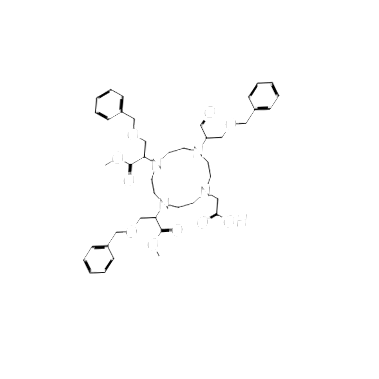 COC(=O)C(COCc1ccccc1)N1CCN(CC(=O)O)CCN(C(C=O)COCc2ccccc2)CCN(C(COCc2ccccc2)C(=O)OC)CC1